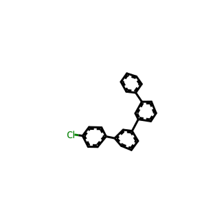 Clc1ccc(-c2cccc(-c3cccc(-c4ccccc4)c3)c2)cc1